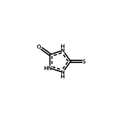 O=c1[nH][nH]c(=S)[nH]1